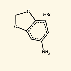 Br.Nc1ccc2c(c1)OCO2